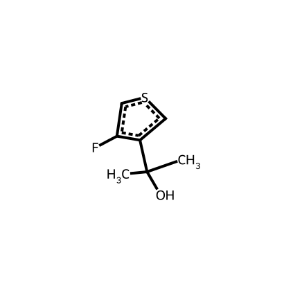 CC(C)(O)c1cscc1F